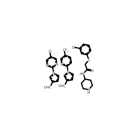 O=C(CSc1cccc(Cl)c1)NC1CCNCC1.O=Cc1ccn(-c2ccc(C(F)(F)F)cn2)c1.O=Cc1ccn(-c2ncc(Cl)cn2)c1